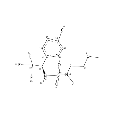 COCCN(C)S(=O)(=O)N(C)[C@H](c1ccc(Cl)cc1)C(F)(F)F